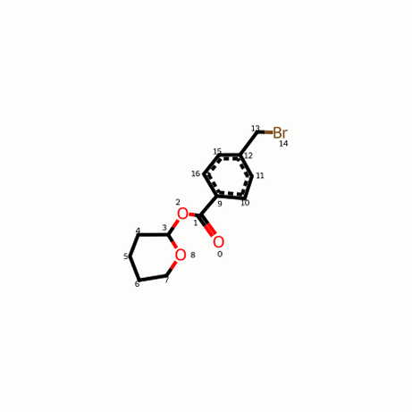 O=C(OC1CCCCO1)c1ccc(CBr)cc1